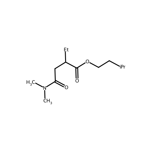 CCC(CC(=O)N(C)C)C(=O)OCCC(C)C